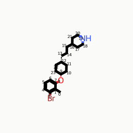 Cc1c(Br)cccc1O[C@H]1CC[C@@H](CCCC2CCNCC2)CC1